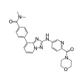 CN(C)C(=O)c1ccc(-c2cccn3nc(Nc4ccc(C(=O)N5CCOCC5)nc4)nc23)cc1